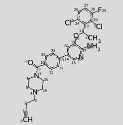 C#CCCN1CCN(C(=O)c2ccc(-c3cnc(N)c(OC(C)c4c(Cl)ccc(F)c4Cl)c3)cc2)CC1